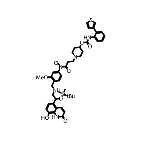 COc1cc(N(Cl)C(=O)CCN2CCC(OC(=O)Nc3ccccc3-c3ccsc3)CC2)ccc1CNCC(O[Si](C)(C)C(C)(C)C)c1ccc(O)c2[nH]c(=O)ccc12